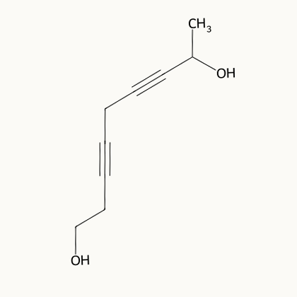 CC(O)C#CCC#CCCO